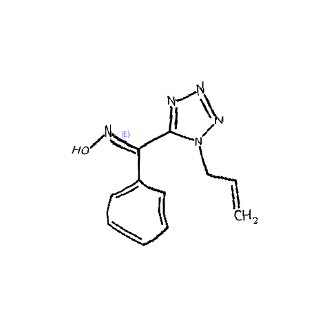 C=CCn1nnnc1/C(=N/O)c1ccccc1